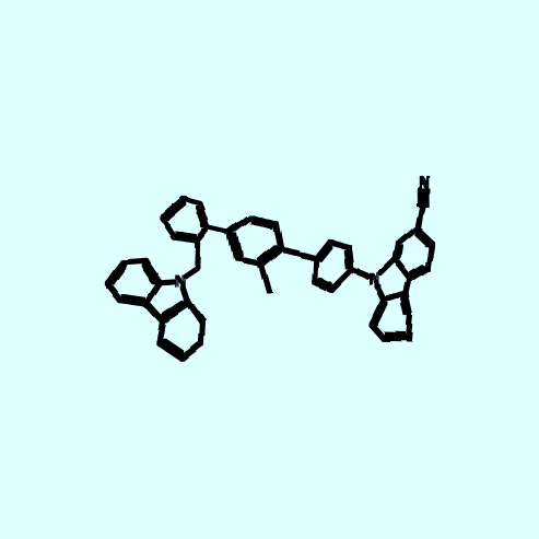 Cc1cc(-c2ccccc2Cn2c3c(c4ccccc42)C=CCC3)ccc1-c1ccc(-n2c3ccccc3c3ccc(C#N)cc32)cc1